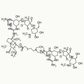 C=C[C@]1(C)C[C@@H](OC(=O)CSCCN(CC)CC)[C@@]2(C)C(C)CC[C@]3(CCC(=O)[C@H]32)[C@@H](C)[C@@H]1O.CN[C@@H]1[C@H](O[C@H]2[C@H](O[C@H]3[C@H](O)[C@@H](O)[C@H](NC(=N)N)[C@@H](O)[C@@H]3NC(=N)N)O[C@@H](C)[C@]2(O)C=O)O[C@@H](CO)[C@H](O)[C@H]1O.CN[C@@H]1[C@H](O[C@H]2[C@H](O[C@H]3[C@H](O)[C@@H](O)[C@H](NC(=N)N)[C@@H](O)[C@@H]3NC(=N)N)O[C@@H](C)[C@]2(O)C=O)O[C@@H](CO)[C@H](O)[C@H]1O